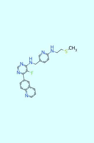 CSCCNc1ccc(CNc2ncnc(-c3ccc4ncccc4c3)c2F)cn1